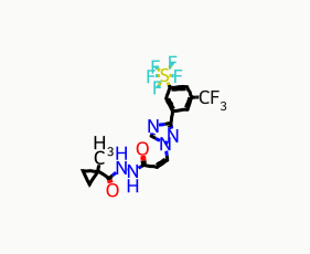 CC1(C(=O)NNC(=O)/C=C\n2cnc(-c3cc(C(F)(F)F)cc(S(F)(F)(F)(F)F)c3)n2)CC1